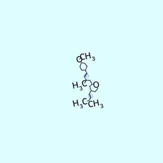 COC1CCC(/C=C/C(C)CC2CC(/C=C/C(C)C)CCO2)CC1